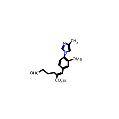 CCOC(=O)/C(=C/c1ccc(-n2cnc(C)c2)c(OC)c1)CCCC=O